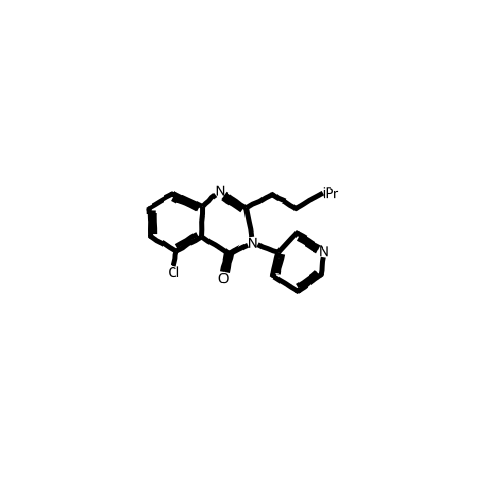 CC(C)CCc1nc2cccc(Cl)c2c(=O)n1-c1cccnc1